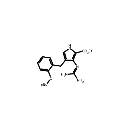 CCCCOc1ccccc1Cc1c[nH]c(C(=O)OCC)c1N=C(N)N